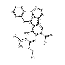 CCOC(=O)[C@@H](Nc1nc(C(=O)O)cc2c3ccccc3n(Cc3ccccc3)c12)[C@@H](C)O